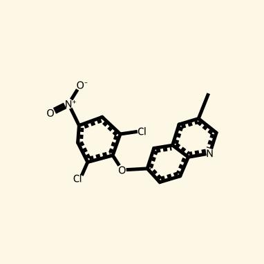 Cc1cnc2ccc(Oc3c(Cl)cc([N+](=O)[O-])cc3Cl)cc2c1